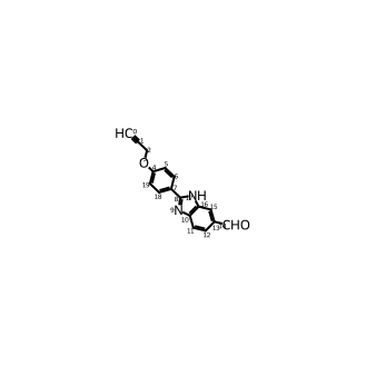 C#CCOc1ccc(-c2nc3ccc(C=O)cc3[nH]2)cc1